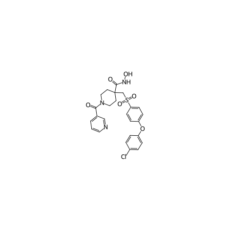 O=C(c1cccnc1)N1CCC(CS(=O)(=O)c2ccc(Oc3ccc(Cl)cc3)cc2)(C(=O)NO)CC1